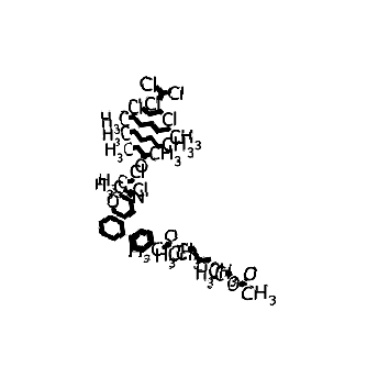 C1CCCCC1.C1CCOCC1.CC#N.CC(C)=O.CC(Cl)Cl.CCC(C)=O.CCCCC.CCCCCC.CCCCCCC.CCOC(C)=O.ClC(Cl)Cl.ClCCCl.c1ccccc1